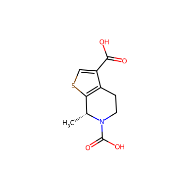 C[C@@H]1c2scc(C(=O)O)c2CCN1C(=O)O